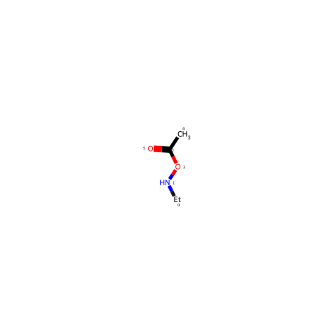 CCNOC(C)=O